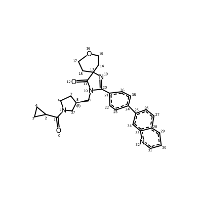 O=C(C1CC1)N1CC[C@@H](CN2C(=O)C3(CCOCC3)N=C2c2ccc(-c3ccc4cccnc4c3)cc2)C1